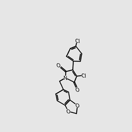 O=C1C(Cl)=C(c2ccc(Cl)cc2)C(=O)N1Cc1ccc2c(c1)OCO2